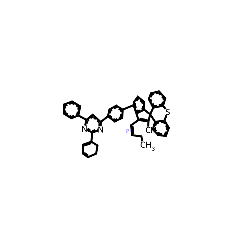 CC/C=C\C1=C(C)C2(c3ccccc3Sc3ccccc32)c2cccc(-c3ccc(-c4cc(-c5ccccc5)nc(C5=CC=CCC5)n4)cc3)c21